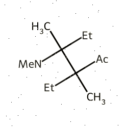 CCC(C)(NC)C(C)(CC)C(C)=O